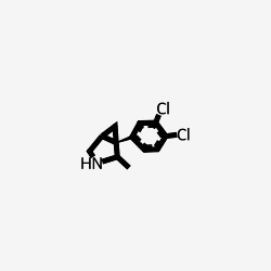 CC1NCC2C[C@@]21c1ccc(Cl)c(Cl)c1